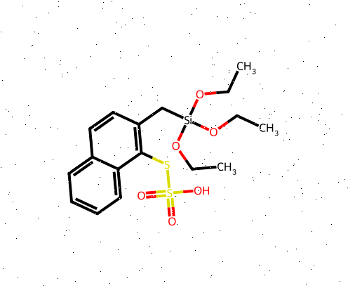 CCO[Si](Cc1ccc2ccccc2c1SS(=O)(=O)O)(OCC)OCC